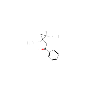 CCC1(C(=O)O)CC1(CC(=O)c1ccccc1)C(=O)O